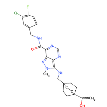 C=C(O)C12CCC(CNc3c4ncnc(C(=O)NCc5ccc(F)c(Cl)c5)c4nn3C)(CC1)CC2